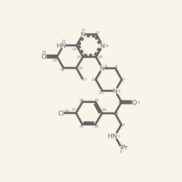 CC(C)NCC(C(=O)N1CCN(c2ncnc3c2C(C)CC(=O)N3)CC1)C1=CCC(Cl)C=C1